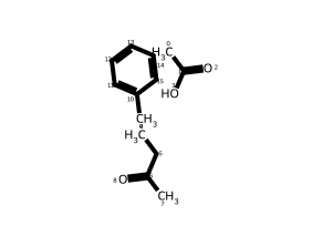 CC(=O)O.CCC(C)=O.Cc1ccccc1